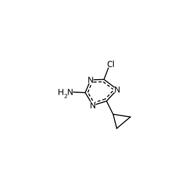 Nc1nc(Cl)nc(C2CC2)n1